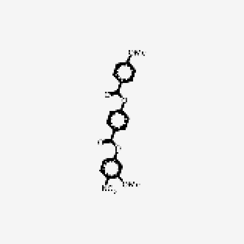 COc1ccc(C(=O)Oc2ccc(C(=O)Oc3ccc([N+](=O)[O-])c(OC)c3)cc2)cc1